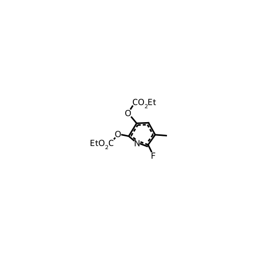 CCOC(=O)Oc1cc(C)c(F)nc1OC(=O)OCC